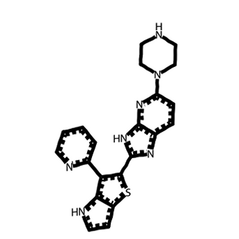 c1ccc(-c2c(-c3nc4ccc(N5CCNCC5)nc4[nH]3)sc3cc[nH]c23)nc1